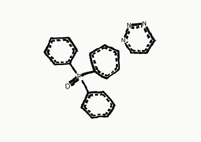 O=P(c1ccccc1)(c1ccccc1)c1ccccc1.c1cnnnc1